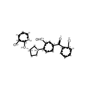 O=Cc1cc(C(=O)c2ccccc2Cl)ccc1N1CC[C@H](Oc2ncccc2Cl)C1